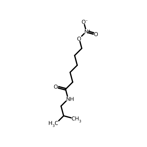 CC(C)CNC(=O)CCCCCO[N+](=O)[O-]